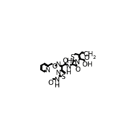 C=CC1=C(C(=O)O)N2C(=O)C(NC(=O)/C(=N/OCc3ccccn3)c3csc(NC=O)n3)[C@H]2SC1